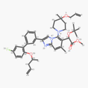 C=CCOC1(C)CCN(c2c(C(OC(C)(C)C)C(=O)OC)c(C)cc3nc(-c4cccc(-c5cc(F)ccc5OC(C)CC=C)c4)cn23)CC1